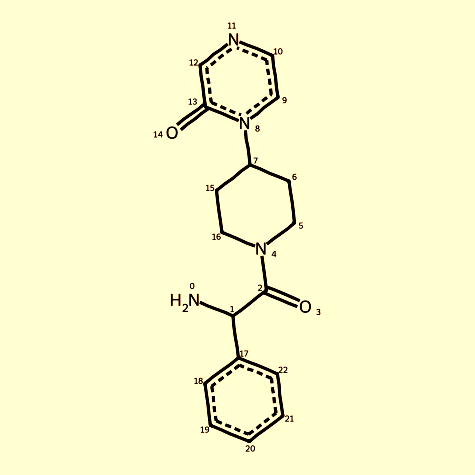 NC(C(=O)N1CCC(n2ccncc2=O)CC1)c1ccccc1